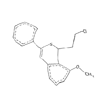 COc1cccc2c1C(CCCl)SC(c1ccccc1)=C2